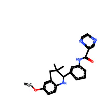 CC1(C)Cc2cc(OC(=O)O)ccc2NC1c1cccc(NC(=O)c2cnccn2)c1